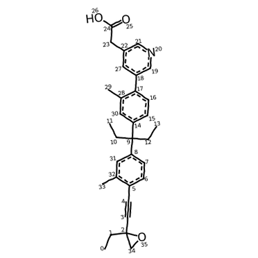 CCC1(C#Cc2ccc(C(CC)(CC)c3ccc(-c4cncc(CC(=O)O)c4)c(C)c3)cc2C)CO1